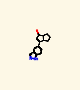 O=C1C=C(c2ccc3[nH]ncc3c2)C2CCCC12